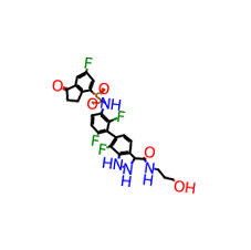 O=C1CCc2c1cc(F)cc2S(=O)(=O)Nc1ccc(F)c(-c2ccc3c(c2F)NNC3C(=O)NCCCO)c1F